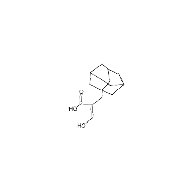 O=C(O)C(=CO)CC12CC3CC(CC(C3)C1)C2